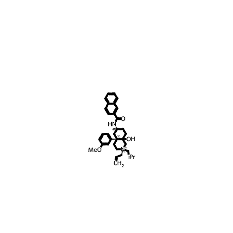 C=CC[N@@+]1(CC(C)C)CC[C@]2(c3cccc(OC)c3)C[C@H](NC(=O)c3ccc4ccccc4c3)CCC2(O)C1